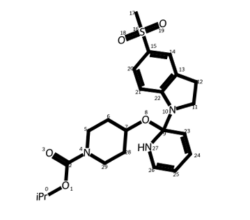 CC(C)OC(=O)N1CCC(OC2(N3CCc4cc(S(C)(=O)=O)ccc43)C=CC=CN2)CC1